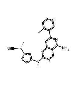 Cc1ccncc1-c1cc2cc(Nc3cnn([C@@H](C)C#N)c3)ncc2c(N)n1